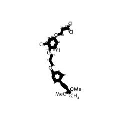 COC(C)(C#Cc1ccc(OCCCOc2c(Cl)cc(OCC=C(Cl)Cl)cc2Cl)cc1)OC